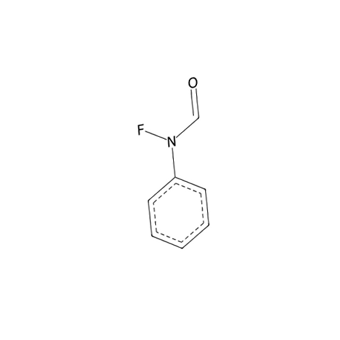 O=CN(F)c1ccccc1